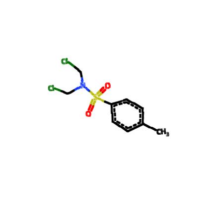 Cc1ccc(S(=O)(=O)N(CCl)CCl)cc1